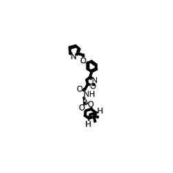 CC1(C)[C@@H]2CC3OB(CNC(=O)C4CC(c5cccc(OCc6ccccn6)c5)=NO4)OC3[C@H]1C2